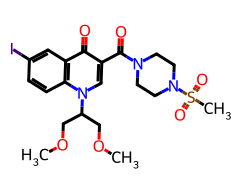 COCC(COC)n1cc(C(=O)N2CCN(S(C)(=O)=O)CC2)c(=O)c2cc(I)ccc21